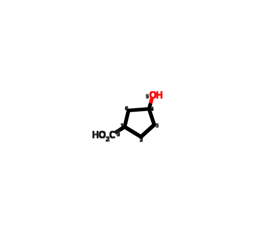 O=C(O)C1CCC(O)C1